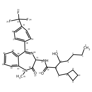 CCCCC(O)C(CC1CCC1)C(=O)NC1N=C(c2ccc(C(F)(F)F)cc2)c2ccccc2N(C)C1=O